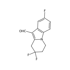 O=Cc1c2n(c3ccc(F)cc13)CCC(F)(F)C2